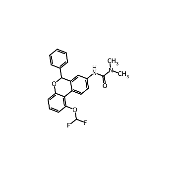 CN(C)C(=O)Nc1ccc2c(c1)C(c1ccccc1)Oc1cccc(OC(F)F)c1-2